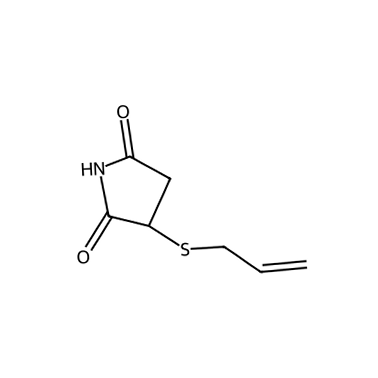 C=CCSC1CC(=O)NC1=O